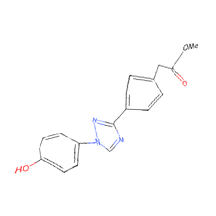 COC(=O)Cc1ccc(-c2ncn(-c3ccc(O)cc3)n2)cc1